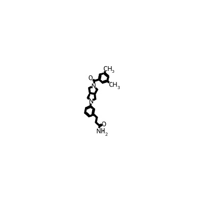 Cc1cc(C)cc(C(=O)N2CC3CN(c4cccc(CCC(N)=O)c4)CC3C2)c1